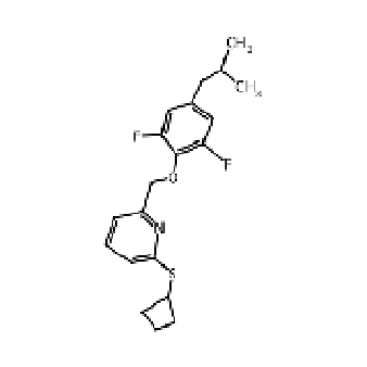 CC(C)Cc1cc(F)c(OCc2cccc(SC3CCC3)n2)c(F)c1